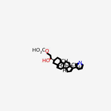 C[C@]12CC[C@H](C(O)CCOC(=O)O)CC1=CC[C@@H]1[C@@H]2CC[C@]2(C)C(c3cccnc3)=CC[C@@H]12